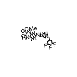 COC1(C2C(=O)Nc3c(C)nc(NCc4cnn(Cc5cc(F)c(F)c(F)c5)c4)nc3N2C)CCC1